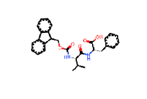 CC(C)[C@H](NC(=O)OCC1c2ccccc2-c2ccccc21)C(=O)N[C@@H](Cc1ccccc1)C(=O)O